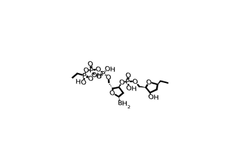 B[C@H]1C[C@H](OP(=O)(O)OC[C@H]2O[C@@H](CC)C[C@@H]2O)[C@@H](COP(=O)(O)OP(=O)(O)OP(=O)(O)CC)O1